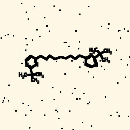 CC(C)(C)c1nccc(CCCCCCCCCc2ccnc(C(C)(C)C)n2)n1